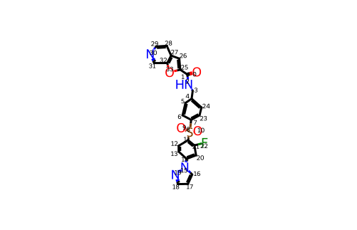 O=C(NCc1ccc(S(=O)(=O)c2ccc(-n3cccn3)cc2F)cc1)c1cc2ccncc2o1